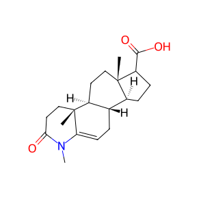 CN1C(=O)CC[C@@]2(C)C1=CC[C@@H]1[C@@H]2CC[C@]2(C)C(C(=O)O)CC[C@@H]12